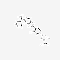 CN1C[C@@H](c2ccc(-c3nc4ccc(C5(c6ccccc6)CC5)nc4s3)c(F)c2)C[C@H]1C(=O)O